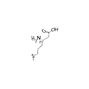 CSCCC[C@H](N)CC(=O)O